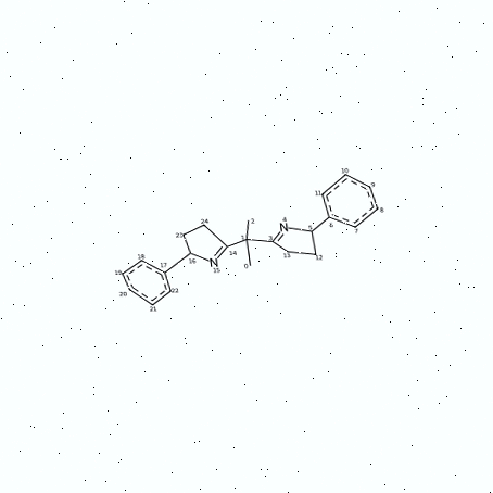 CC(C)(C1=NC(c2ccccc2)CC1)C1=NC(c2ccccc2)CC1